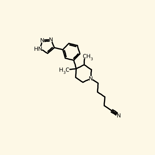 CC1CN(CCCCC#N)CCC1(C)c1cccc(-c2c[nH]nn2)c1